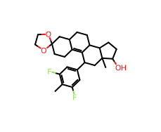 Cc1c(F)cc(C2CC3(C)C(O)CCC3C3CCC4CC5(CCC4=C23)OCCO5)cc1F